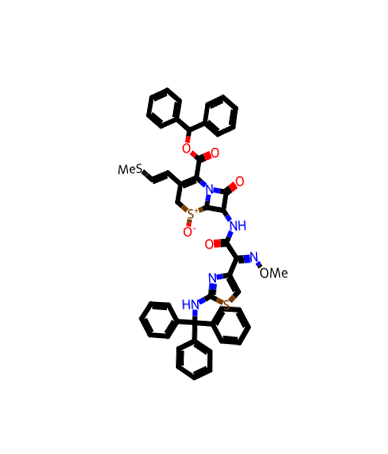 CON=C(C(=O)NC1C(=O)N2C(C(=O)OC(c3ccccc3)c3ccccc3)=C(C=CSC)C[S+]([O-])C12)c1csc(NC(c2ccccc2)(c2ccccc2)c2ccccc2)n1